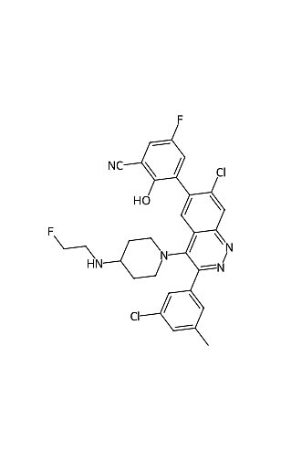 Cc1cc(Cl)cc(-c2nnc3cc(Cl)c(-c4cc(F)cc(C#N)c4O)cc3c2N2CCC(NCCF)CC2)c1